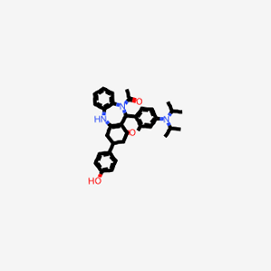 CC(=O)N1c2ccccc2NC2=C(C(=O)CC(c3ccc(O)cc3)C2)C1c1ccc(N(C(C)C)C(C)C)cc1C